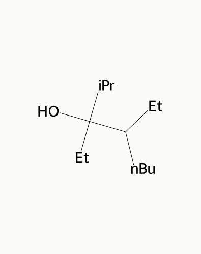 CCCCC(CC)C(O)(CC)C(C)C